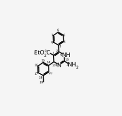 CCOC(=O)C1=C(c2ccccc2)NC(N)=NC1c1cccc(C)c1